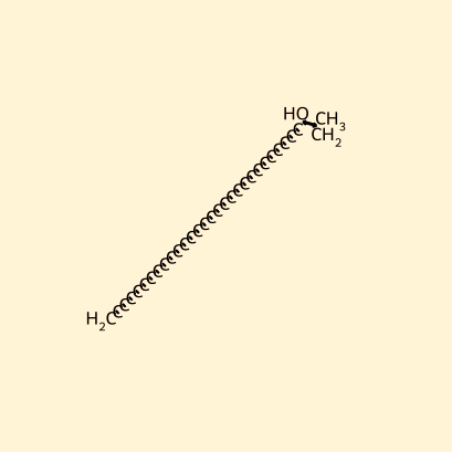 C=C=C=C=C=C=C=C=C=C=C=C=C=C=C=C=C=C=C=C=C=C=C=C=C=C=C=C=C=C(O)C(=C)C